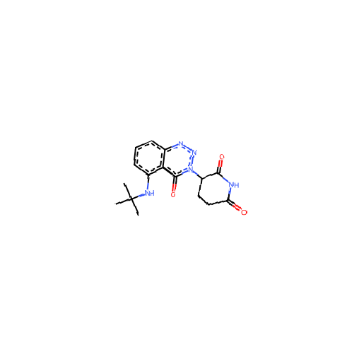 CC(C)(C)Nc1cccc2nnn(C3CCC(=O)NC3=O)c(=O)c12